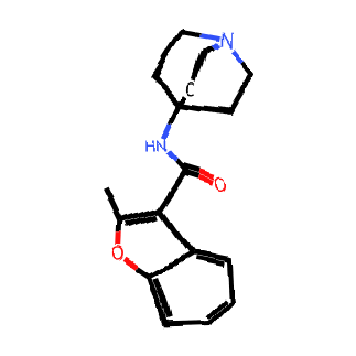 Cc1oc2ccccc2c1C(=O)NC12CCN(CC1)CC2